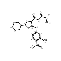 C[C@H](N)C(=O)NC(=O)[C@@H]1CC(C2CCCCC2)CN1Cc1ccc(C(=N)N)c(O)c1